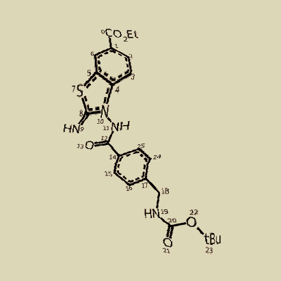 CCOC(=O)c1ccc2c(c1)sc(=N)n2NC(=O)c1ccc(CNC(=O)OC(C)(C)C)cc1